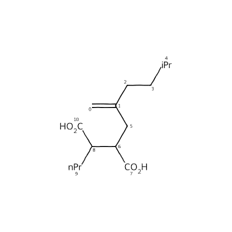 C=C(CCC(C)C)CC(C(=O)O)C(CCC)C(=O)O